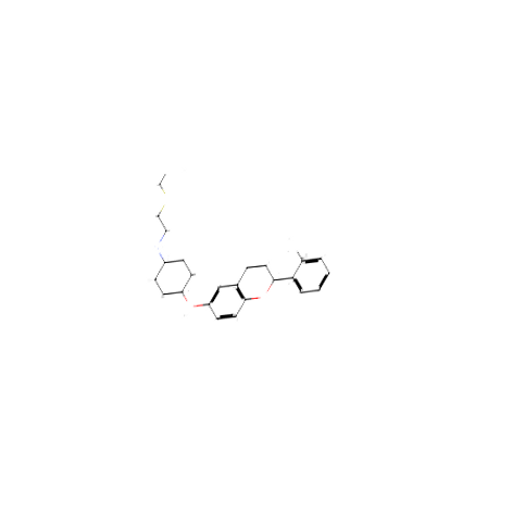 CCSCCNC1CCC(Oc2ccc3c(c2)CCC(c2ccccc2C)O3)CC1